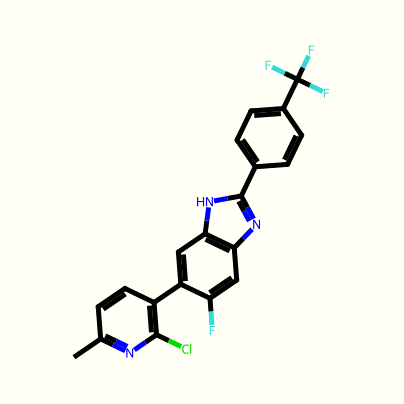 Cc1ccc(-c2cc3[nH]c(-c4ccc(C(F)(F)F)cc4)nc3cc2F)c(Cl)n1